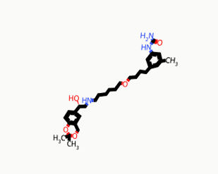 Cc1cc(CCCCOCCCCCCNC[C@@H](O)c2ccc3c(c2)COC(C)(C)O3)cc(NC(N)=O)c1